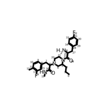 CCCC1CN(C(Cc2ccc(C)c(F)c2)C(=O)NC)CCN1C(=O)C(N)Cc1ccc(F)cc1